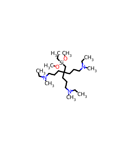 CCN(C)CCCC(CCCN(C)CC)(CCCN(C)CC)C[Si](CC)(OC)OC